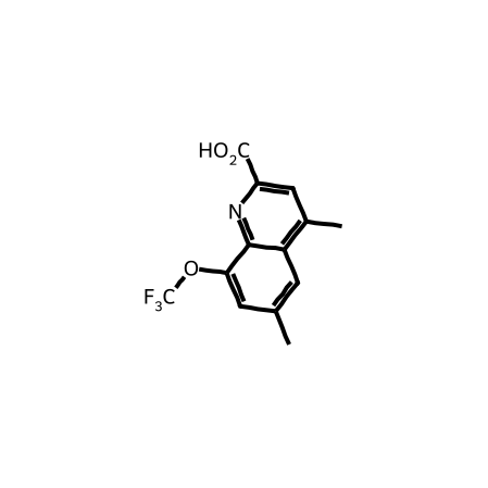 Cc1cc(OC(F)(F)F)c2nc(C(=O)O)cc(C)c2c1